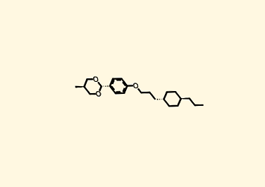 CCC[C@H]1CC[C@H](CCCOc2ccc([C@H]3OC[C@H](C)CO3)cc2)CC1